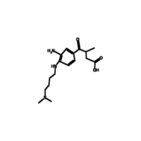 CC(CC(=O)O)C(=O)c1ccc(NCCCCN(C)C)c(N)c1